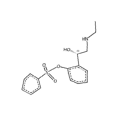 CCNC[C@@H](O)c1ccccc1OS(=O)(=O)c1ccccc1